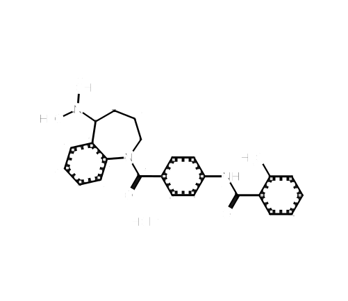 Cc1ccccc1C(=O)Nc1ccc(C(=O)N2CCCC(N(C)C)c3ccccc32)cc1.Cl